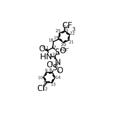 O=C1N/C(=N\S(=O)(=O)c2ccc(Cl)cc2)[S+]([O-])C1Cc1cccc(C(F)(F)F)c1